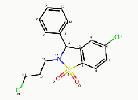 O=S1(=O)c2ccc(Cl)cc2C(c2ccccc2)N1CCCCl